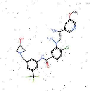 COc1cncc(/C(N)=C/N(N)c2cc(C(=O)Nc3cc(CN4CC(O)C4)cc(C(F)(F)F)c3)ccc2Cl)c1